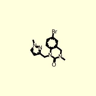 CN1Cc2cc(Br)ccc2N(Cc2ccn(C)n2)C1=O